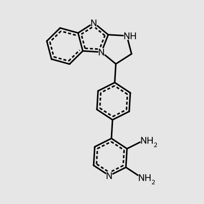 Nc1nccc(-c2ccc(C3CNc4nc5ccccc5n43)cc2)c1N